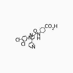 O=C(NC1CCC(C(=O)O)CC1)c1cc(-c2cccnc2)n(-c2ccc(Cl)c(Cl)c2)n1